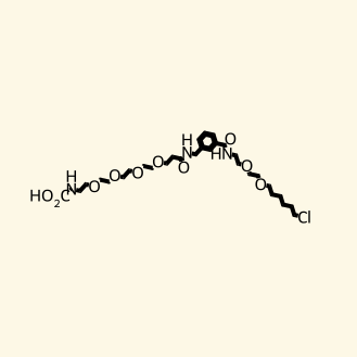 O=C(O)NCCOCCOCCOCCOCCC(=O)NCc1cccc(C(=O)NCCOCCOCCCCCCCl)c1